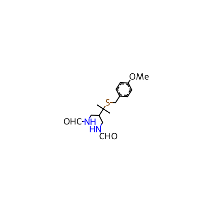 COc1ccc(CSC(C)(C)C(CNC=O)CNC=O)cc1